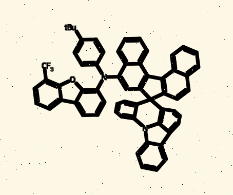 CC(C)(C)c1ccc(N(c2cc3c(c4ccccc24)-c2c(ccc4ccccc24)C32c3ccccc3-n3c4ccccc4c4cccc2c43)c2cccc3c2oc2c(C(F)(F)F)cccc23)cc1